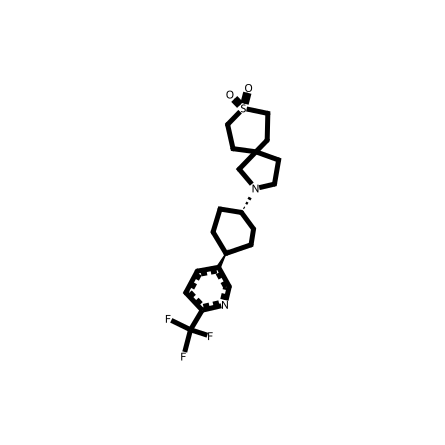 O=S1(=O)CCC2(CCN([C@H]3CC[C@H](c4ccc(C(F)(F)F)nc4)CC3)C2)CC1